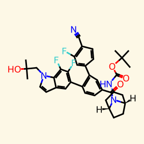 CC(C)(O)Cn1ccc2cc(-c3ccc(C(=O)N4[C@@H]5CC[C@H]4C[C@@H](NC(=O)OC(C)(C)C)C5)cc3-c3ccc(C#N)c(F)c3)c(F)c(F)c21